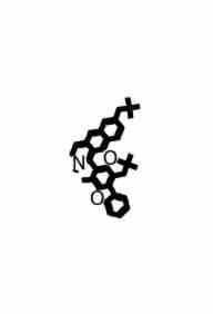 Cc1c2c(c(CC(C)(C)C)c3c1oc1ccccc13)Oc1c3ccc(CC(C)(C)C)cc3cc3cc[n+](C)c-2c13